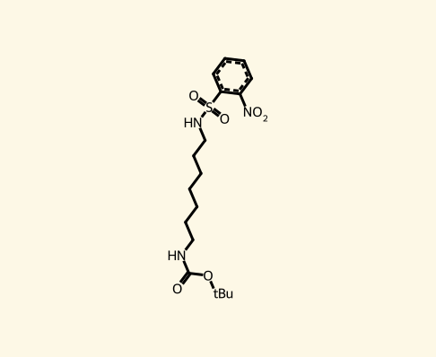 CC(C)(C)OC(=O)NCCCCCCCNS(=O)(=O)c1ccccc1[N+](=O)[O-]